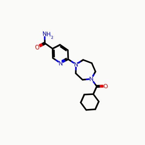 NC(=O)c1ccc(N2CCCN(C(=O)C3CCCCC3)CC2)nc1